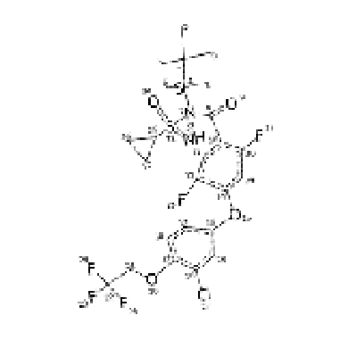 CC(C)(C)[Si](C)(C)N(C(=O)c1cc(F)c(Oc2ccc(OCC(F)(F)F)c(Cl)c2)cc1F)S(=N)(=O)C1CC1